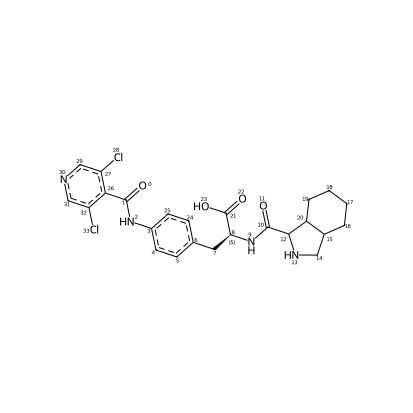 O=C(Nc1ccc(C[C@H](NC(=O)C2NCC3CCCCC32)C(=O)O)cc1)c1c(Cl)cncc1Cl